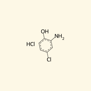 Cl.Nc1cc(Cl)ccc1O